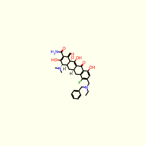 C=C1C(C(N)=O)=C(O)[C@@H](N(C)C)[C@@H]2C[C@@H]3Cc4c(F)c(CN(CC)Cc5ccccc5)cc(O)c4C(=O)C3=C(O)[C@]12O